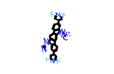 [C-]#[N+]/N=c1/c2cc(-c3cc(F)nc(F)c3)ccc2c2cc3/c(=N/C#N)c4cc(-c5cc(F)nc(F)c5)ccc4c3cc12